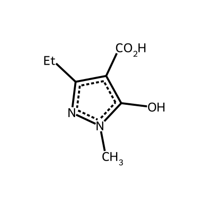 CCc1nn(C)c(O)c1C(=O)O